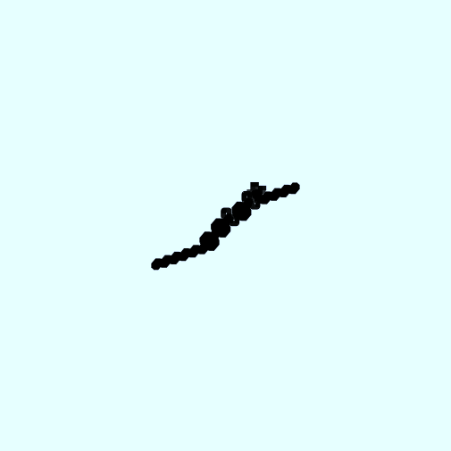 CCCCCCCCCCCc1ccc(-c2ccc(C(=O)Oc3ccc(C(=O)OC(CCCCCCCC)C(F)(F)F)cc3)cc2)cc1